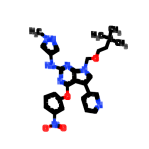 Cn1cc(Nc2nc(Oc3cccc([N+](=O)[O-])c3)c3c(-c4cccnc4)cn(COCC[Si](C)(C)C)c3n2)cn1